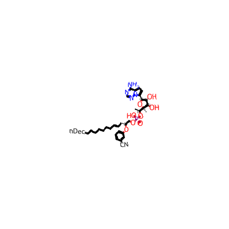 CCCCCCCCCCCCCCCCCCCC[C@H](COP(=O)(O)O[C@@H](C)[C@@]1(C)O[C@@H](c2ccc3c(N)ncnn23)[C@H](O)[C@@H]1O)Oc1cccc(C#N)c1